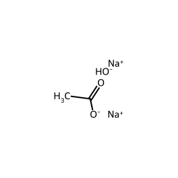 CC(=O)[O-].[Na+].[Na+].[OH-]